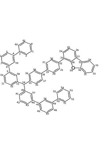 c1ccc(-c2cccc(-c3cccc(C(c4ccc(-c5ccc(-c6cccc7c6oc6ccccc67)cc5)cc4)c4cccc(-c5cccc(-c6ccccc6)c5)c4)c3)c2)cc1